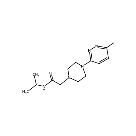 CC(C)NC(=O)CN1CCN(c2ccc(I)nn2)CC1